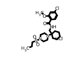 CCCS(=O)(=O)N1CCN(C2(CNC(=O)c3ccc(Cl)cc3OC)CCCCC2)CC1.Cl